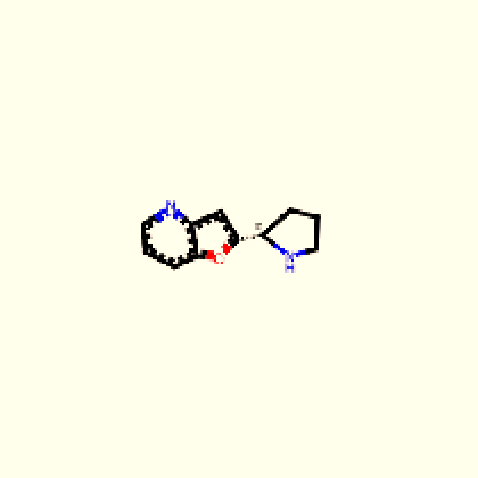 c1cnc2cc([C@@H]3CCCN3)oc2c1